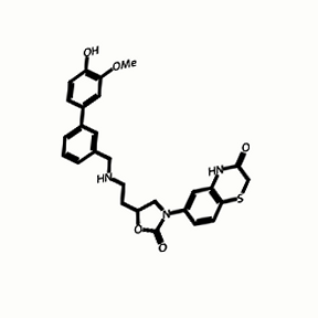 COc1cc(-c2cccc(CNCCC3CN(c4ccc5c(c4)NC(=O)CS5)C(=O)O3)c2)ccc1O